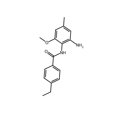 CCc1ccc(C(=O)Nc2c(N)cc(C)cc2OC)cc1